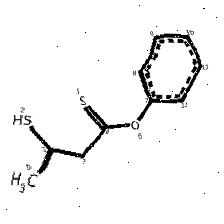 CC(S)CC(=S)Oc1ccccc1